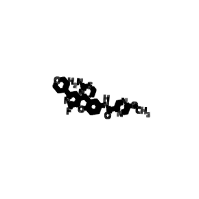 COc1cnc(C(=O)Nc2ccc3c(c2)[C@@]2(CCSC(N)=N2)c2cc(C4=CCOCC4)nc(F)c2O3)cn1